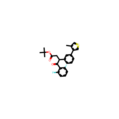 Cc1cscc1-c1cccc(C(CC(=O)OC(C)(C)C)C(=O)c2c(F)cccc2F)c1